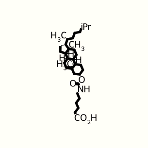 CC(C)CCC[C@@H](C)[C@H]1CC[C@H]2[C@@H]3CC=C4C[C@@H](OC(=O)NCCCCCC(=O)O)CC[C@]4(C)[C@H]3CC[C@]12C